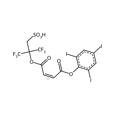 O=C(/C=C\C(=O)OC(CS(=O)(=O)O)(C(F)(F)F)C(F)(F)F)Oc1c(I)cc(I)cc1I